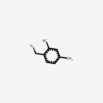 Cc1ccc(CBr)c(C#N)c1